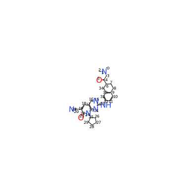 CN(C)CC(=O)C1CCc2ccc(Nc3ncc4cc(C#N)c(=O)n(C5CCCC5)c4n3)cc2C1